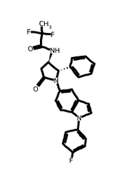 CC(F)(F)C(=O)N[C@@H]1CC(=O)N(c2ccc3c(ccn3-c3ccc(F)cc3)c2)[C@H]1c1ccccc1